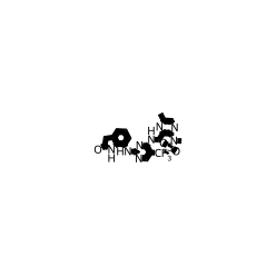 Cc1cnc(N(C)S(C)(=O)=O)c(CNc2nc(Nc3cccc4c3NC(=O)C4)ncc2C(F)(F)F)n1